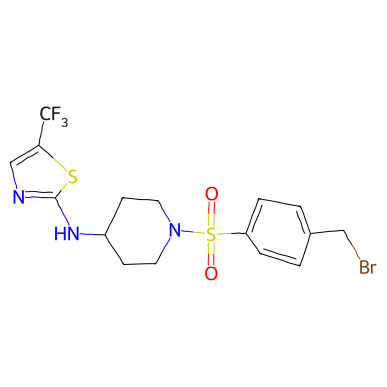 O=S(=O)(c1ccc(CBr)cc1)N1CCC(Nc2ncc(C(F)(F)F)s2)CC1